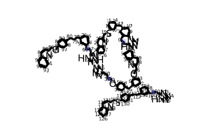 C(=C/c1nnn[nH]1)/c1cccc(Cc2cccc(SCc3ccc4ccccc4n3)c2)c1.C(=C\Oc1ccc(Cc2cccc(OCc3ccc4ccccc4n3)c2)cc1)/Cc1nnn[nH]1.C(=C\c1nnn[nH]1)/c1cccc(CCCc2ccc(OCc3ccc4ccccc4n3)cc2)c1.C(=C\c1nnn[nH]1)/c1cccc(CCc2ccc(SCc3ccc4ccccc4n3)cc2)c1